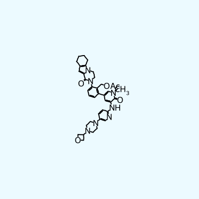 CC(=O)OCc1c(-c2cc(Nc3ccc(N4CCN(C5COC5)CC4)cn3)c(=O)n(C)c2)cccc1N1CCn2c(cc3c2CCCC3)C1=O